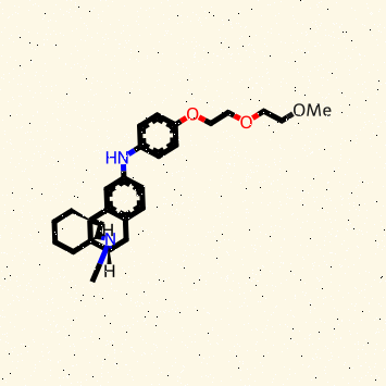 COCCOCCOc1ccc(Nc2ccc3c(c2)[C@@]24CCCC[C@H]2[C@@H](C3)N(C)CC4)cc1